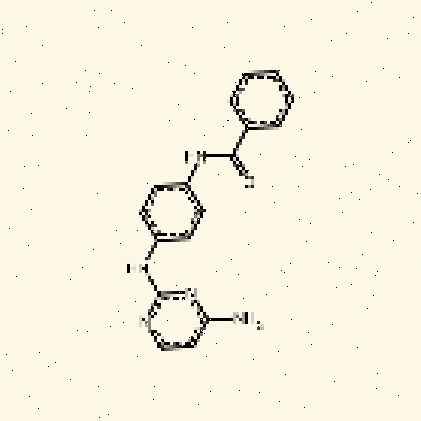 Nc1ccnc(Nc2ccc(NC(=O)c3ccccc3)cc2)n1